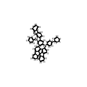 c1ccc(-c2ccc(N(c3ccc4c(c3)C3(c5ccccc5-c5ccccc53)c3ccccc3-4)c3ccc4c(c3)c3ccc5c6ccccc6sc5c3n4-c3ccccc3)cc2)cc1